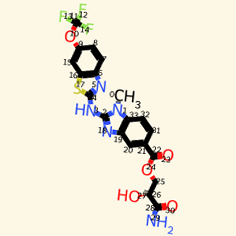 Cn1c(Nc2nc3ccc(OC(F)(F)F)cc3s2)nc2cc(C(=O)OC[C@@H](O)C(N)=O)ccc21